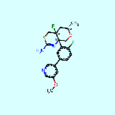 COc1cncc(-c2ccc(F)c([C@]34CO[C@@H](C)C[C@@]3(F)CSC(N)=N4)c2)c1